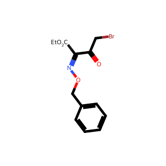 CCOC(=O)/C(=N/OCc1ccccc1)C(=O)CBr